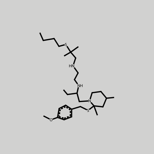 CCCCSC(C)(C)CNCCNC(CC)CN1CCC(C)CC1(C)SCc1ccc(OC)cc1